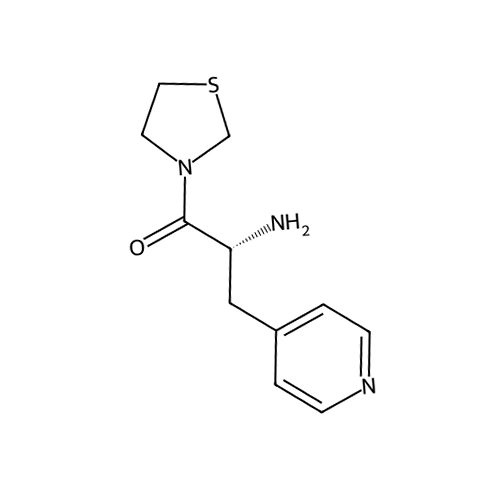 N[C@H](Cc1ccncc1)C(=O)N1CCSC1